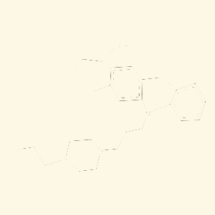 CCCCCCCCCCCCC(=O)O.OCCN1CCN(CCCN2c3ccccc3Sc3ccc(C(F)(F)F)cc32)CC1